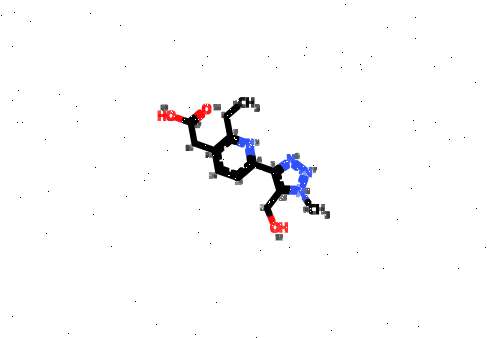 CCc1nc(-c2nnn(C)c2CO)ccc1CC(=O)O